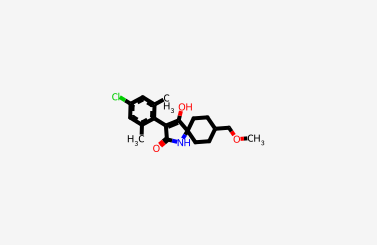 COCC1CCC2(CC1)NC(=O)C(c1c(C)cc(Cl)cc1C)=C2O